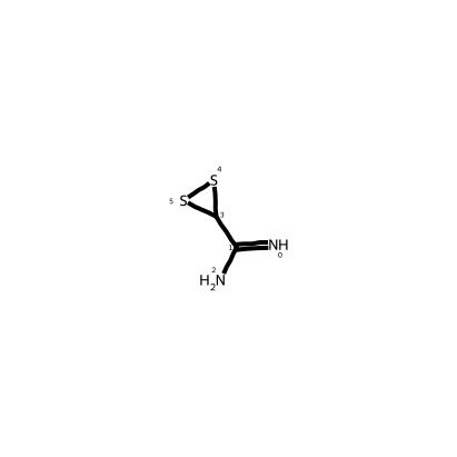 N=C(N)C1SS1